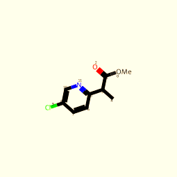 COC(=O)C(C)c1ccc(Cl)cn1